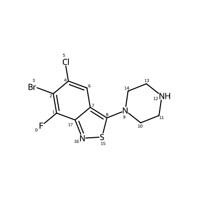 Fc1c(Br)c(Cl)cc2c(N3CCNCC3)snc12